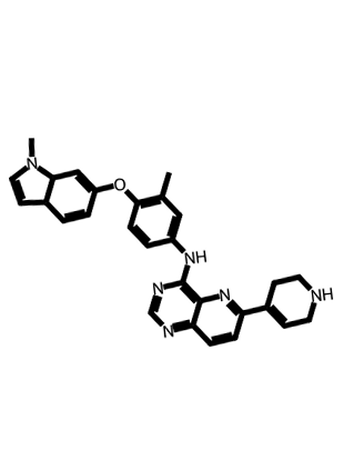 Cc1cc(Nc2ncnc3ccc(C4=CCNCC4)nc23)ccc1OC1=CC2C(C=C1)C=CN2C